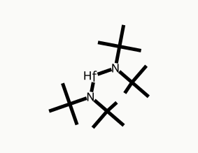 CC(C)(C)[N]([Hf][N](C(C)(C)C)C(C)(C)C)C(C)(C)C